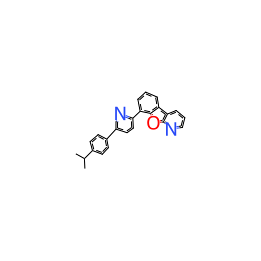 CC(C)c1ccc(-c2ccc(-c3cccc4c3oc3ncccc34)nc2)cc1